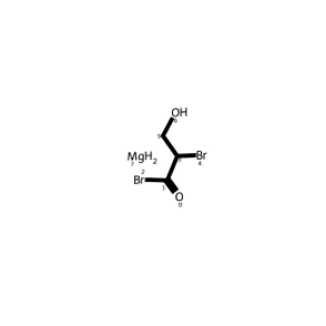 O=C(Br)C(Br)CO.[MgH2]